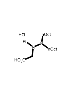 CCCCCCCCN(CCCCCCCC)N(CC)CC(=O)O.Cl